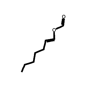 CCCCCC=COC=O